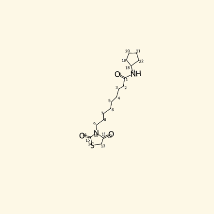 O=C(CCCCCCCCN1C(=O)CSC1=O)NC1CCCC1